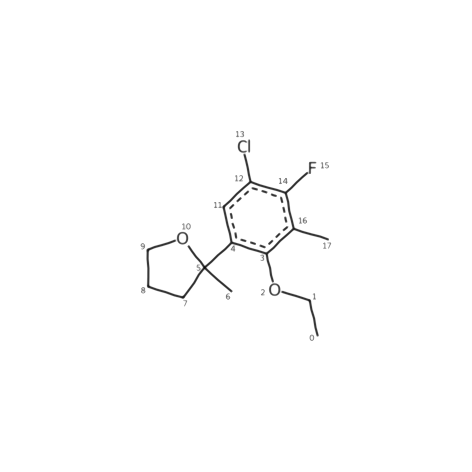 CCOc1c(C2(C)CCCO2)cc(Cl)c(F)c1C